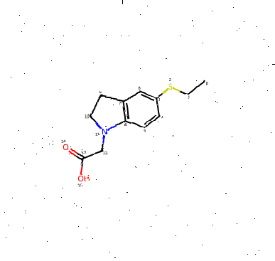 CCSc1ccc2c(c1)CCN2CC(=O)O